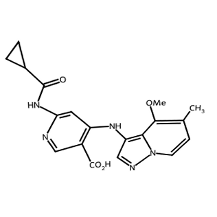 COc1c(C)ccn2ncc(Nc3cc(NC(=O)C4CC4)ncc3C(=O)O)c12